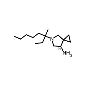 CCCCCC(C)(CC)N1C[C@H](N)C2(CC2)C1